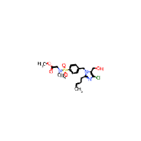 CCCCc1nc(Cl)c(CO)n1Cc1ccc(S(=O)(=O)N(C)CC(=O)OC)cc1